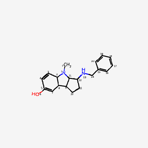 CN1C2C=CC(O)=CC2C2CCC(NCc3ccccc3)C21